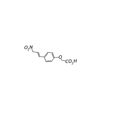 O=C(O)COc1ccc(C=CC[N+](=O)[O-])cc1